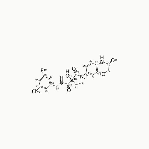 O=C1COc2cc(N3CC[C@](O)(C(=O)NCc4cc(F)cc(Cl)c4)C3=O)ccc2N1